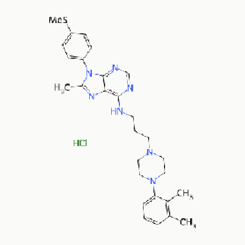 CSc1ccc(-n2c(C)nc3c(NCCCN4CCN(c5cccc(C)c5C)CC4)ncnc32)cc1.Cl